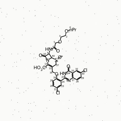 CCCOCCOCC(=O)N[C@@H]1C(=O)N2C(C(=O)O)=C(COc3ccc(Cl)cc3-c3nc4ccc(Cl)cc4c(=O)[nH]3)C[S+]([O-])C12